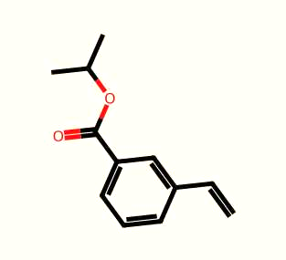 C=Cc1cccc(C(=O)OC(C)C)c1